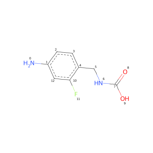 Nc1ccc(CNC(=O)O)c(F)c1